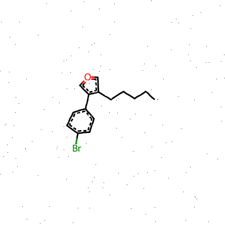 [CH2]CCCCc1cocc1-c1ccc(Br)cc1